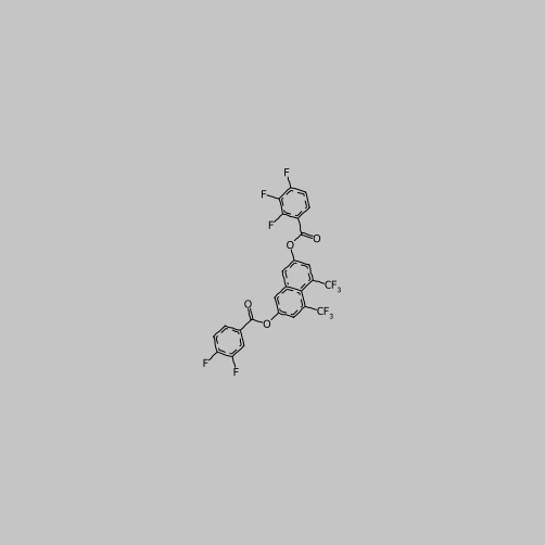 O=C(Oc1cc(C(F)(F)F)c2c(C(F)(F)F)cc(OC(=O)c3ccc(F)c(F)c3F)cc2c1)c1ccc(F)c(F)c1